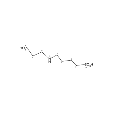 O=S(=O)(O)CCCCNCCS(=O)(=O)O